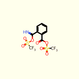 N=C(OS(=O)(=O)C(F)(F)F)c1ccccc1C(=O)OS(=O)(=O)C(F)(F)F